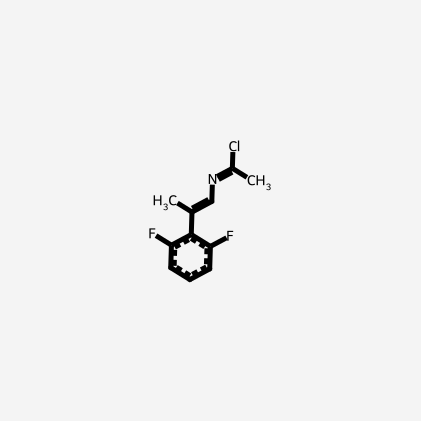 C/C(=C\N=C(/C)Cl)c1c(F)cccc1F